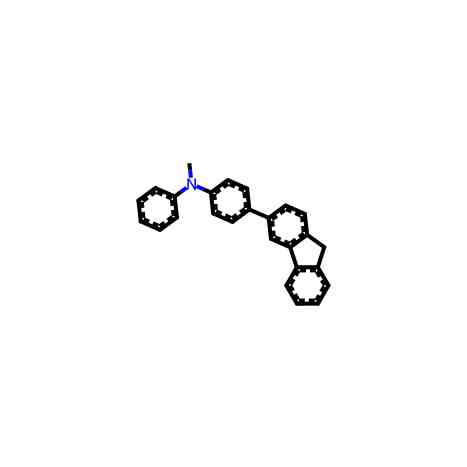 CN(c1ccccc1)c1ccc(-c2ccc3c(c2)-c2ccccc2C3)cc1